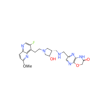 COc1ccc2ncc(F)c(CCN3C[C@H](CNCc4cnc5c(n4)NC(=O)CO5)[C@H](O)C3)c2n1